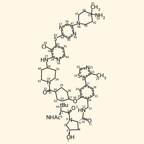 CC(=O)N[C@H](C(=O)N1C[C@H](O)C[C@H]1C(=O)NCc1ccc(-c2scnc2C)cc1OC1CCC(C(=O)N2CCC(Nc3nccc(Sc4cnc(N5CCC(C)(N)CC5)cn4)c3Cl)CC2)CC1)C(C)(C)C